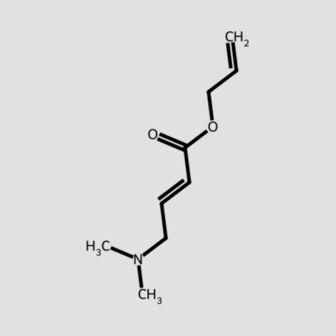 C=CCOC(=O)/C=C/CN(C)C